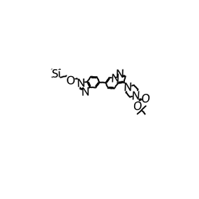 CC(C)(C)OC(=O)N1CCN(c2cnn3cc(-c4ccc5c(c4)ncn5COCC[Si](C)(C)C)ccc23)CC1